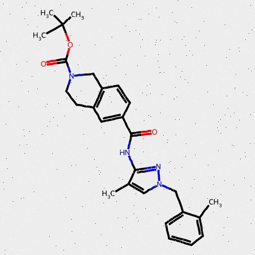 Cc1ccccc1Cn1cc(C)c(NC(=O)c2ccc3c(c2)CCN(C(=O)OC(C)(C)C)C3)n1